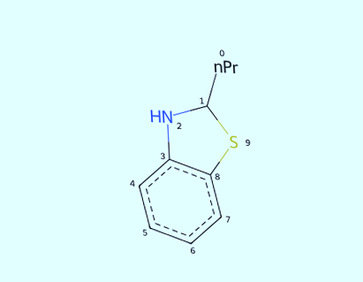 CCCC1Nc2ccccc2S1